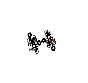 O=C1[C@@H]2[C@@H]3C[C@H]([C@@H]2C(=O)N1c1ccccc1)[C@H]1[C@H](c2ccc(-c4ccc([C@H]5c6sc(=O)[nH]c6S[C@@H]6[C@@H]7C[C@@H]([C@@H]8C(=O)N(c9ccccc9)C(=O)[C@H]78)[C@H]56)cc4)cc2)c2sc(=O)[nH]c2S[C@@H]31